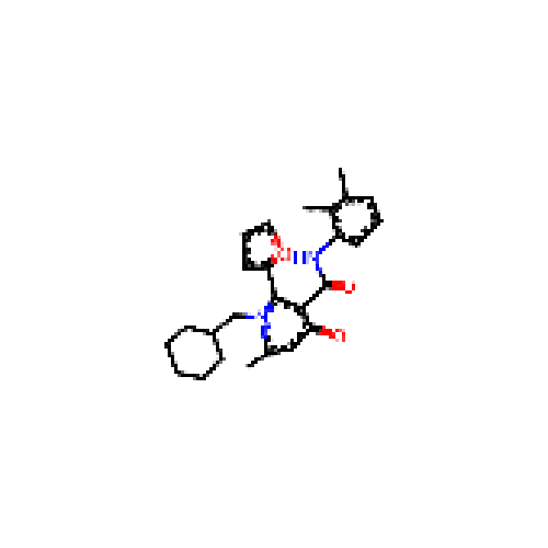 Cc1cccc(NC(=O)c2c(-c3ccco3)n(CC3CCCCC3)c(C)cc2=O)c1C